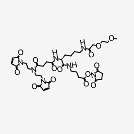 COCCOCC(=O)NCCCC[C@H](NC(=O)CCC(=O)N(CCN1C(=O)C=CC1=O)CCN1C(=O)C=CC1=O)C(=O)NCCCC(=O)ON1C(=O)CCC1=O